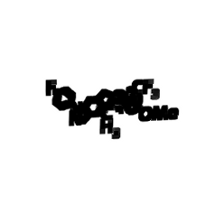 COCCN(C[C@H]1CCC2=Cc3c(cnn3-c3ccc(F)cc3)C[C@@]21C)S(=O)(=O)CC(F)(F)F